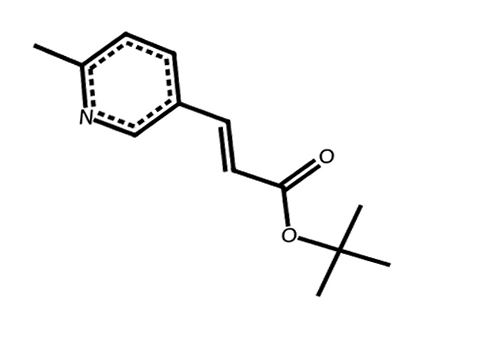 Cc1ccc(C=CC(=O)OC(C)(C)C)cn1